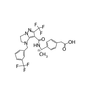 C[C@H](NC(=O)c1c(C(F)(F)F)nn2c1N(Cc1cccc(C(F)(F)F)c1)CC2)c1ccc(CC(=O)O)cc1